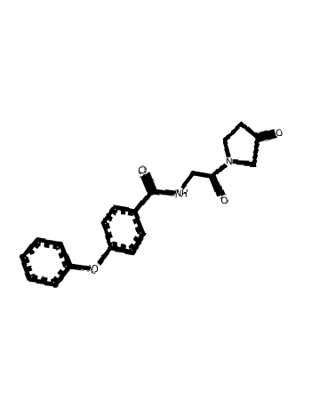 O=C1CCN(C(=O)CNC(=O)c2ccc(Oc3ccccc3)cc2)C1